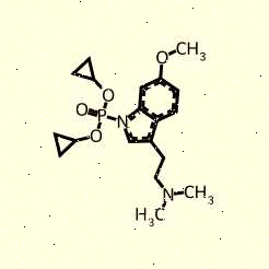 COc1ccc2c(CCN(C)C)cn(P(=O)(OC3CC3)OC3CC3)c2c1